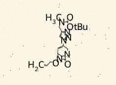 C=CCON1C(=O)N2CC(n3cc(CN(C)C(=O)OC(C)(C)C)nn3)=CC1C2